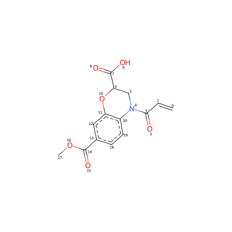 C=CC(=O)N1CC(C(=O)O)Oc2cc(C(=O)OC)ccc21